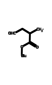 [CH2]C(CC=O)C(=O)OC(C)(C)C